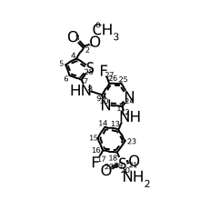 COC(=O)c1ccc(Nc2nc(Nc3ccc(F)c(S(N)(=O)=O)c3)ncc2F)s1